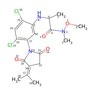 CON(C)C(=O)C(C)Nc1cc(N2C(=O)CC(=C(C)C)C2=O)c(Cl)cc1Cl